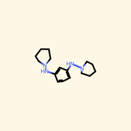 c1cc(NN2CCCCC2)cc(NN2CCCCC2)c1